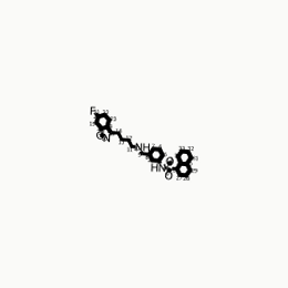 O=S(=O)(Nc1cccc(CNCCCCc2noc3cc(F)ccc23)c1)c1cccc2ccccc12